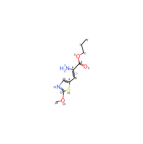 CCCOC(=O)/C(N)=C/c1cnc(OC)s1